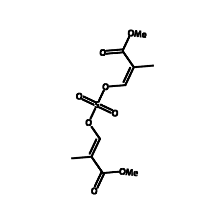 COC(=O)C(C)=COS(=O)(=O)OC=C(C)C(=O)OC